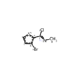 C/N=C(\Cl)c1sccc1Br